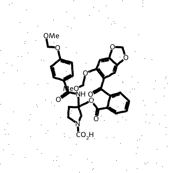 COCOc1ccc(C(=O)NC2(OC(=O)c3ccccc3C(=O)c3cc4c(cc3OCOC)OCO4)CCN(C(=O)O)C2)cc1